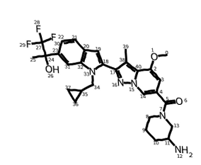 COc1cc(C(=O)N2CCCC(N)C2)cn2nc(-c3cc4ccc(C(C)(O)C(F)(F)F)cc4n3CC3CC3)c(C)c12